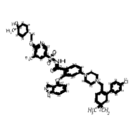 CC1(C)CCC(CN2CCN(c3ccc(C(=O)NS(=O)(=O)c4cnc(OC[C@H]5CC[C@](C)(O)CC5)c(C(F)(F)F)c4)c(Oc4cccc5[nH]ncc45)c3)CC2)=C(c2ccc(Cl)cc2)C1